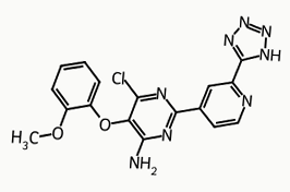 COc1ccccc1Oc1c(N)nc(-c2ccnc(-c3nnn[nH]3)c2)nc1Cl